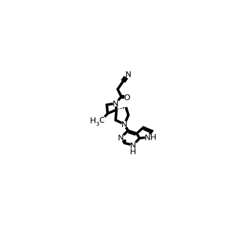 CC1CN(C(=O)CC#N)[C@]12CCN(C1=C3C=CNC3NC=N1)C2